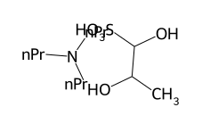 CC(O)C(O)S(=O)(=O)O.CCCN(CCC)CCC